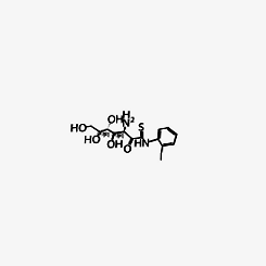 N[C@@H](C(=O)C(=S)Nc1ccccc1I)[C@@H](O)[C@@H](O)[C@H](O)CO